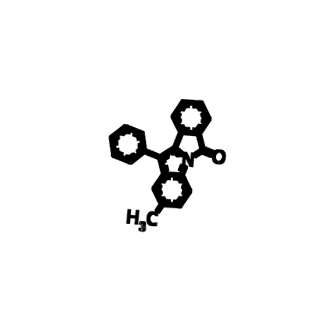 Cc1ccc2c(c1)c(-c1ccccc1)c1n2C(=O)c2ccccc2-1